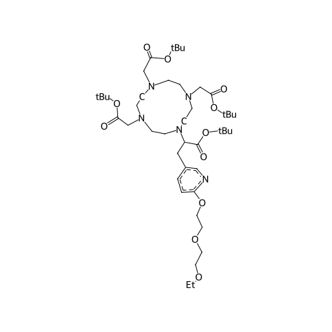 CCOCCOCCOc1ccc(CC(C(=O)OC(C)(C)C)N2CCN(CC(=O)OC(C)(C)C)CCN(CC(=O)OC(C)(C)C)CCN(CC(=O)OC(C)(C)C)CC2)cn1